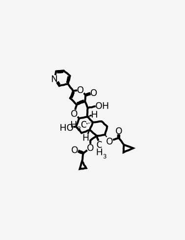 CC1(COC(=O)C2CC2)[C@@H](OC(=O)C2CC2)CC[C@]2(C)[C@H]3C(O)c4c(cc(-c5cccnc5)oc4=O)OC3C(O)C[C@@H]12